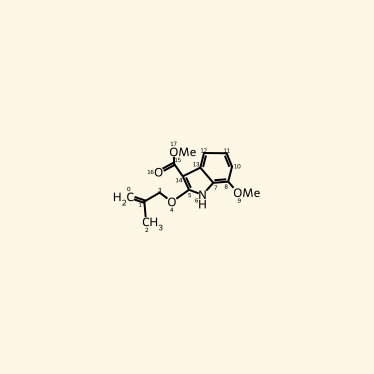 C=C(C)COc1[nH]c2c(OC)cccc2c1C(=O)OC